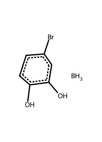 B.Oc1ccc(Br)cc1O